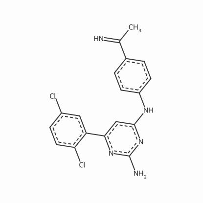 CC(=N)c1ccc(Nc2cc(-c3cc(Cl)ccc3Cl)nc(N)n2)cc1